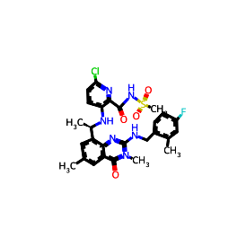 Cc1cc([C@@H](C)Nc2ccc(Cl)nc2C(=O)NS(C)(=O)=O)c2nc(NCc3ccc(F)cc3C)n(C)c(=O)c2c1